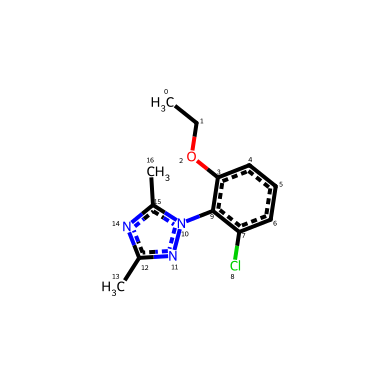 CCOc1cccc(Cl)c1-n1nc(C)nc1C